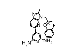 Cc1nc2ccc(-c3cc(N)nc(N)c3)nc2n1C[C@@H](C)Oc1ccccc1F